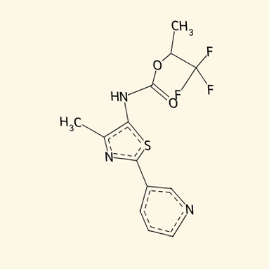 Cc1nc(-c2cccnc2)sc1NC(=O)OC(C)C(F)(F)F